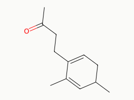 CC(=O)CCC1=CCC(C)C=C1C